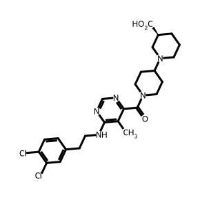 Cc1c(NCCc2ccc(Cl)c(Cl)c2)ncnc1C(=O)N1CCC(N2CCC[C@H](C(=O)O)C2)CC1